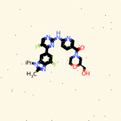 Cc1nc2c(F)cc(-c3nc(Nc4ccc(C(=O)N5CCO[C@H](CO)C5)cn4)ncc3F)cc2n1C(C)C